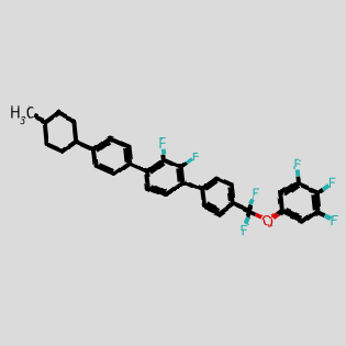 CC1CCC(c2ccc(-c3ccc(-c4ccc(C(F)(F)Oc5cc(F)c(F)c(F)c5)cc4)c(F)c3F)cc2)CC1